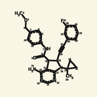 COCc1ccc(NC(=O)C2c3c(N)ncnc3N(C3(C)CC3)C2C#Cc2cccc(F)c2)cc1